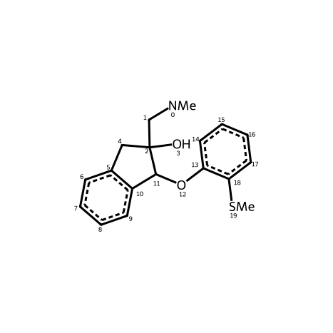 CNCC1(O)Cc2ccccc2C1Oc1ccccc1SC